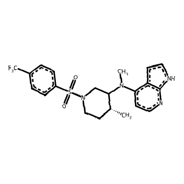 C[C@@H]1CCN(S(=O)(=O)c2ccc(C(F)(F)F)cc2)CC1N(C)c1ccnc2[nH]ccc12